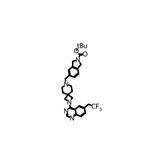 CC(C)(C)OC(=O)N1Cc2ccc(CN3CCC4(CC3)CN(c3ncnc5ccc(CC(F)(F)F)cc35)C4)cc2C1